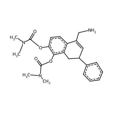 CN(C)C(=O)Oc1ccc2c(c1OC(=O)N(C)C)CC(c1ccccc1)C=C2CN